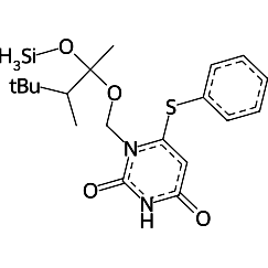 CC(C(C)(C)C)C(C)(O[SiH3])OCn1c(Sc2ccccc2)cc(=O)[nH]c1=O